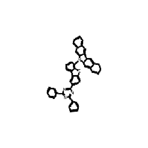 C1=CC2=CC3C(C=C2CC1)c1cc2ccccc2cc1N3c1cccc2c1sc1ccc(-c3nc(-c4ccccc4)nc(-c4ccccc4)n3)cc12